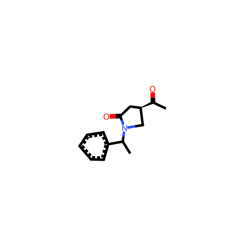 CC(=O)[C@@H]1CC(=O)N(C(C)c2ccccc2)C1